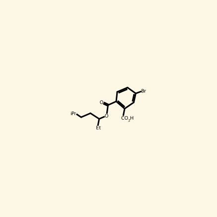 CCC(CCC(C)C)OC(=O)c1ccc(Br)cc1C(=O)O